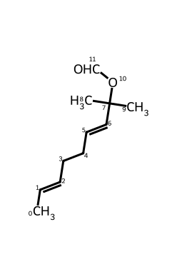 C/C=C/CC/C=C/C(C)(C)OC=O